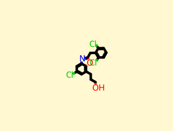 OCCCc1cc(Cl)cc2nc(Cc3c(Cl)cccc3Cl)oc12